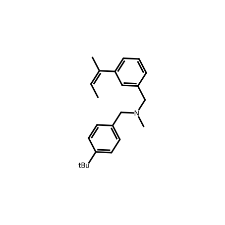 C/C=C(/C)c1cccc(CN(C)Cc2ccc(C(C)(C)C)cc2)c1